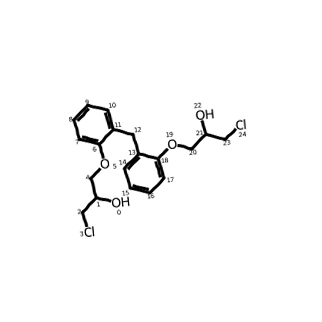 OC(CCl)COc1ccccc1Cc1ccccc1OCC(O)CCl